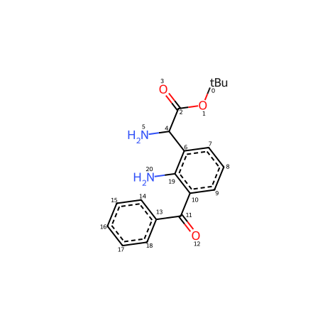 CC(C)(C)OC(=O)C(N)c1cccc(C(=O)c2ccccc2)c1N